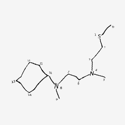 CSCCN(C)CCN(C)C1CCCC1